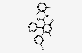 Cc1cccc(C)c1NC(=O)c1c(-c2cccnc2)n(-c2cccc(Cl)c2)c(C)cc1=O